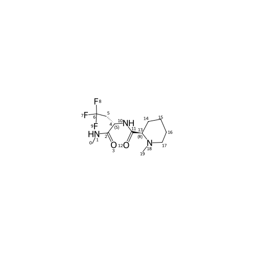 CNC(=O)[C@H](CC(F)(F)F)NC(=O)[C@H]1CCCCN1C